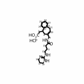 Cl.O=C(O)CC1CC(CNC(=O)CCCNC2=NCCCN2)=CCc2ccccc21